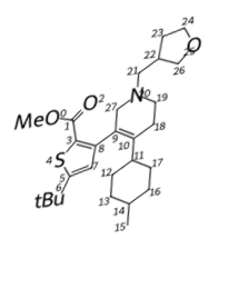 COC(=O)c1sc(C(C)(C)C)cc1C1=C(C2CCC(C)CC2)CCN(CC2CCOC2)C1